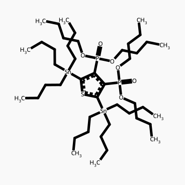 CCCCOP(=O)(OCCCC)c1[c]([Sn]([CH2]CCC)([CH2]CCC)[CH2]CCC)s[c]([Sn]([CH2]CCC)([CH2]CCC)[CH2]CCC)c1P(=O)(OCCCC)OCCCC